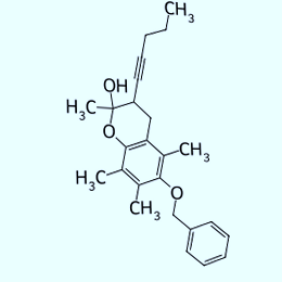 CCCC#CC1Cc2c(C)c(OCc3ccccc3)c(C)c(C)c2OC1(C)O